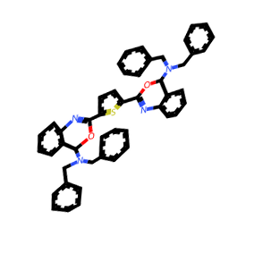 c1ccc(CN(Cc2ccccc2)C2OC(c3ccc(C4=Nc5ccccc5C(N(Cc5ccccc5)Cc5ccccc5)O4)s3)=Nc3ccccc32)cc1